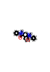 Cc1c(C(CC(C)C)c2c(C)n(C)n(-c3ccccc3)c2=O)c(=O)n(-c2ccccc2)n1C